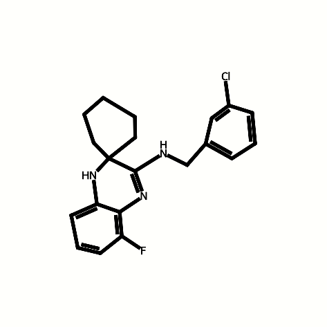 Fc1cccc2c1N=C(NCc1cccc(Cl)c1)C1(CCCCC1)N2